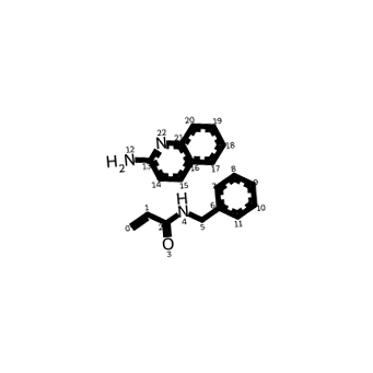 C=CC(=O)NCc1ccccc1.Nc1ccc2ccccc2n1